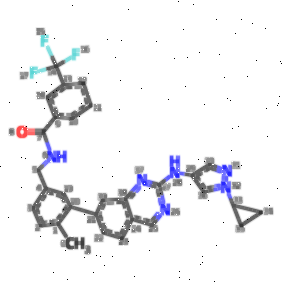 Cc1ccc(CNC(=O)c2cccc(C(F)(F)F)c2)cc1-c1ccc2cnc(Nc3cnn(C4CC4)c3)nc2c1